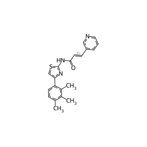 Cc1ccc(-c2csc(NC(=O)/C=C/c3cccnc3)n2)c(C)c1C